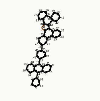 c1ccc(-c2c3ccccc3c(-c3ccc(-c4ccc5c(c4)c4ccccc4c4c5sc5c6ccccc6c6ccccc6c54)cc3)c3ccccc23)cc1